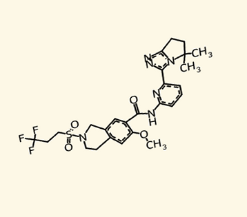 COc1cc2c(cc1C(=O)Nc1cccc(-c3nnc4n3C(C)(C)CC4)n1)CN(S(=O)(=O)CCC(F)(F)F)CC2